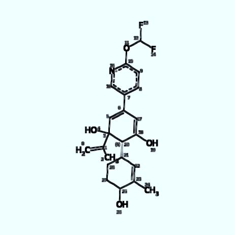 C=C(C)C1(O)C=C(c2ccc(OC(F)F)nc2)C=C(O)[C@@H]1C1C=C(C)C(O)CC1